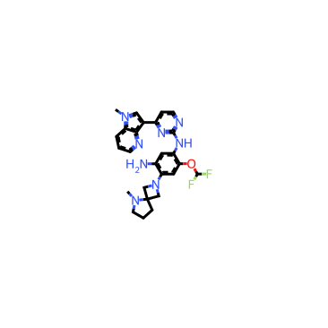 CN1CCCC12CN(c1cc(OC(F)F)c(Nc3nccc(-c4cn(C)c5cccnc45)n3)cc1N)C2